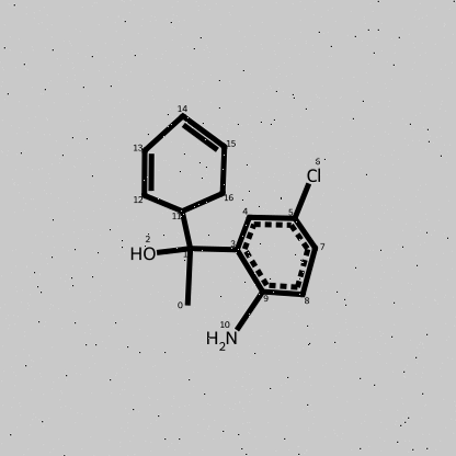 CC(O)(c1cc(Cl)ccc1N)C1C=CC=CC1